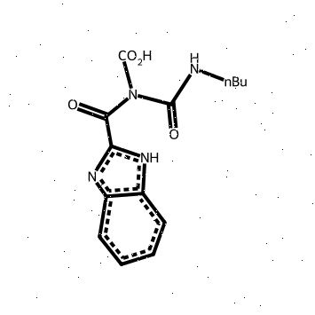 CCCCNC(=O)N(C(=O)O)C(=O)c1nc2ccccc2[nH]1